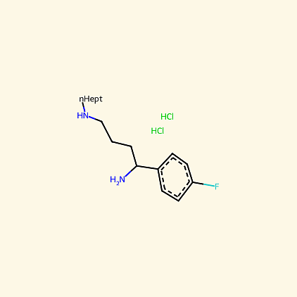 CCCCCCCNCCCC(N)c1ccc(F)cc1.Cl.Cl